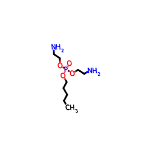 CCCCCOP(=O)(OCCN)OCCN